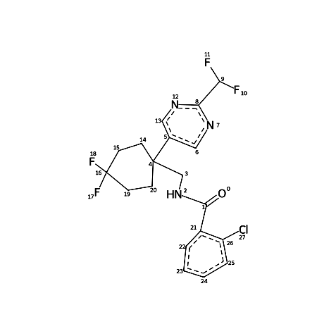 O=C(NCC1(c2cnc(C(F)F)nc2)CCC(F)(F)CC1)c1ccccc1Cl